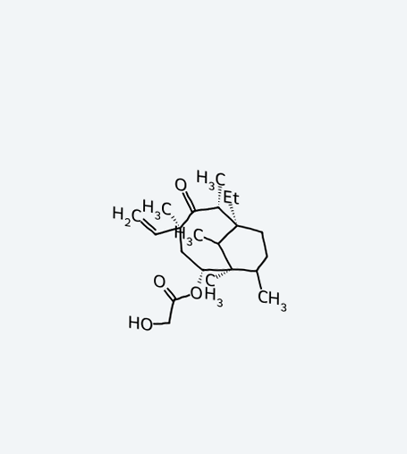 C=C[C@]1(C)C[C@@H](OC(=O)CO)[C@]2(C)C(C)CC[C@@](CC)(C2C)[C@@H](C)C1=O